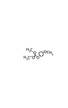 CCOP(OCC)Oc1ccc(OC)cc1